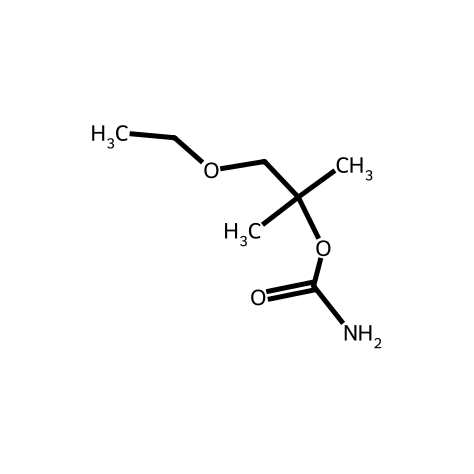 CCOCC(C)(C)OC(N)=O